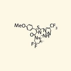 COc1ccc(-c2sc(C)nc2C(=O)N2CC(F)(F)C[C@@H](C)[C@H]2CNc2ncc(C(F)(F)F)cn2)cc1